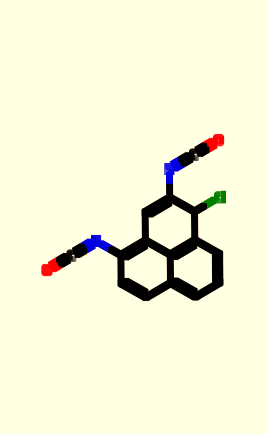 O=C=NC1=Cc2c(N=C=O)ccc3cccc(c23)C1Cl